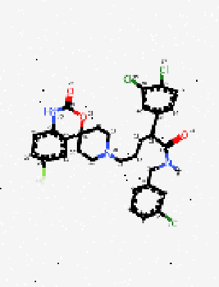 CN(Cc1cccc(Cl)c1)C(=O)C(CCCN1CCC2(CC1)OC(=O)Nc1ccc(F)cc12)c1ccc(Cl)c(Cl)c1